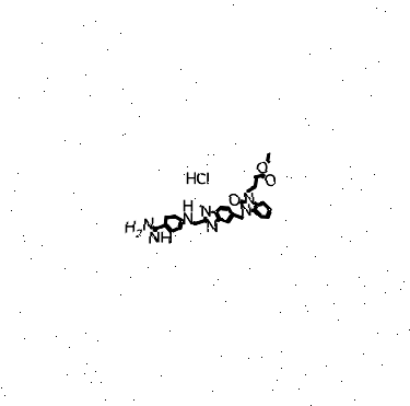 CCOC(=O)CCCn1c(=O)n(Cc2ccc3c(c2)nc(CNc2ccc(C(=N)N)cc2)n3C)c2ccccc21.Cl